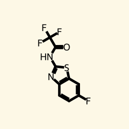 O=C(Nc1nc2ccc(F)cc2s1)C(F)(F)F